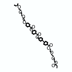 C=CC(=C)OCCOCCOCCOc1ccc(C(=O)Oc2ccc(C(=O)Oc3ccc(-c4ccc(C(=O)OCCOCCOCCOC(=O)CC)cc4)cc3)cc2)cc1